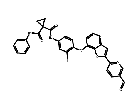 O=Cc1ccc(-c2cc3nccc(Oc4ccc(NC(=S)C5(C(=O)Nc6ccccc6)CC5)cc4F)c3s2)nc1